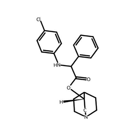 O=C(O[C@H]1CN2CCC1CC2)C(Nc1ccc(Cl)cc1)c1ccccc1